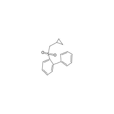 O=S(=O)(CC1CC1)c1ccccc1-c1ccccc1